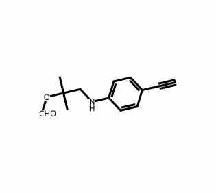 C#Cc1ccc(NCC(C)(C)OC=O)cc1